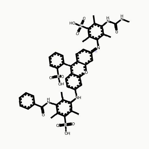 CNC(=O)Nc1c(C)c(/N=c2\ccc3c(-c4ccccc4S(=O)(=O)O)c4ccc(Nc5c(C)c(NC(=O)c6ccccc6)c(C)c(S(=O)(=O)O)c5C)cc4oc-3c2)c(C)c(S(=O)(=O)O)c1C